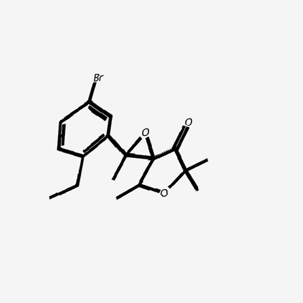 CCc1ccc(Br)cc1C1(C)OC12C(=O)C(C)(C)OC2C